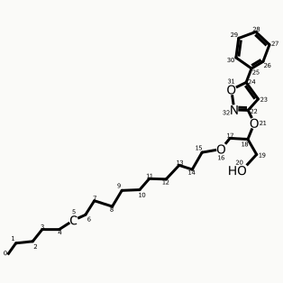 CCCCCCCCCCCCCCCCOCC(CO)Oc1cc(-c2ccccc2)on1